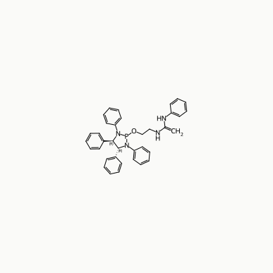 C=C(NCCOP1N(c2ccccc2)[C@H](c2ccccc2)[C@@H](c2ccccc2)N1c1ccccc1)Nc1ccccc1